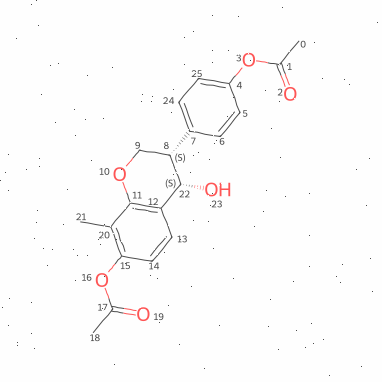 CC(=O)Oc1ccc([C@H]2COc3c(ccc(OC(C)=O)c3C)[C@H]2O)cc1